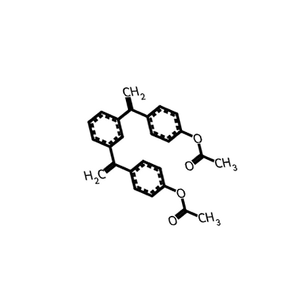 C=C(c1ccc(OC(C)=O)cc1)c1cccc(C(=C)c2ccc(OC(C)=O)cc2)c1